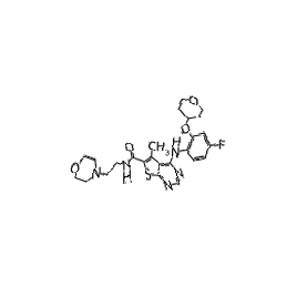 Cc1c(C(=O)NCCN2CCOCC2)sc2ncnc(Nc3ccc(F)cc3OC3CCOCC3)c12